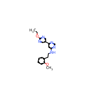 CCOc1ncc(-c2cc(NCCc3ccccc3OC)ncn2)cn1